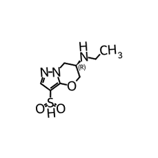 CCN[C@H]1COc2c([SH](=O)=O)cnn2C1